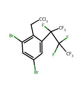 FC(F)(F)C(F)(F)C(F)(c1cc(Br)[c]c(Br)c1CC(Cl)(Cl)Cl)C(F)(F)F